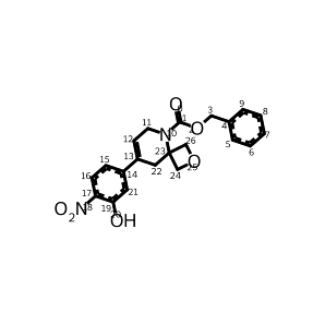 O=C(OCc1ccccc1)N1CC=C(c2ccc([N+](=O)[O-])c(O)c2)CC12COC2